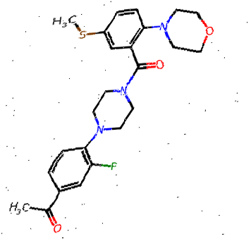 CSc1ccc(N2CCOCC2)c(C(=O)N2CCN(c3ccc(C(C)=O)cc3F)CC2)c1